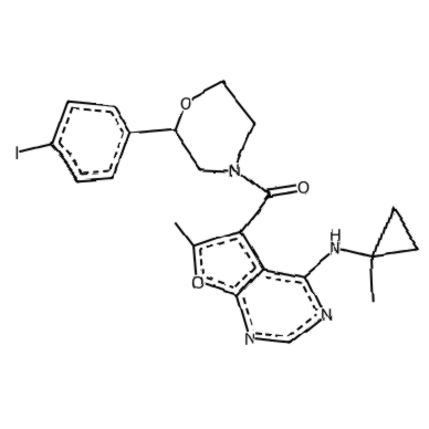 Cc1oc2ncnc(NC3(C)CC3)c2c1C(=O)N1CCOC(c2ccc(I)cc2)C1